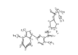 Cc1ncc(-c2cc(C(F)(F)F)c3c(N)ncnn23)cc1C(=O)N[C@@H]1CN(C(=O)C(C)(O)C(F)(F)F)C[C@@H]1F